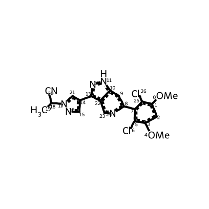 COc1cc(OC)c(Cl)c(-c2cc3[nH]nc(-c4cnn(C(C)C#N)c4)c3cn2)c1Cl